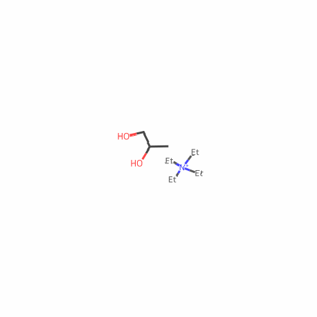 CC(O)CO.CC[N+](CC)(CC)CC